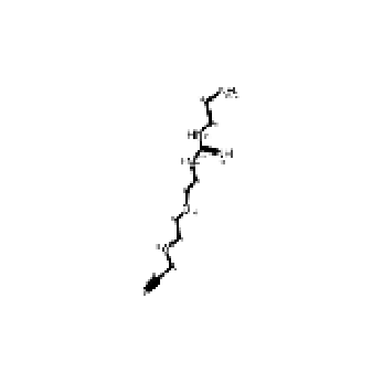 C#CCOCCOCCNC(=N)NCCN